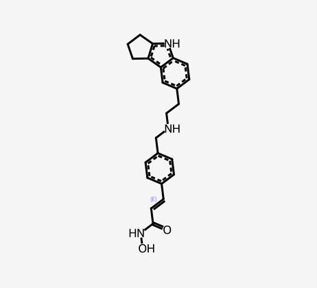 O=C(/C=C/c1ccc(CNCCc2ccc3[nH]c4c(c3c2)CCC4)cc1)NO